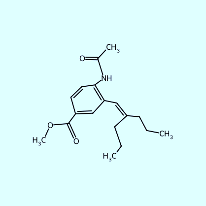 CCCC(=Cc1cc(C(=O)OC)ccc1NC(C)=O)CCC